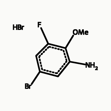 Br.COc1c(N)cc(Br)cc1F